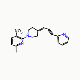 Cc1ccc([N+](=O)[O-])c(N2CCC(=CC#Cc3ccccn3)CC2)n1